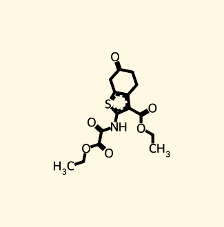 CCOC(=O)C(=O)Nc1sc2c(c1C(=O)OCC)CCC(=O)C2